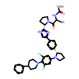 COC(=O)NC(C(=O)N1CCC[C@H]1c1nc(-c2ccc([C@@H]3CCCN3c3cc(F)c(N4CCC(c5ccccc5)CC4)c(F)c3)cc2)c[nH]1)C(C)C